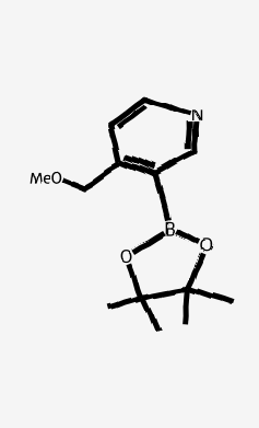 COCc1ccncc1B1OC(C)(C)C(C)(C)O1